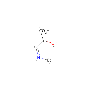 CC/N=C\C(O)C(=O)O